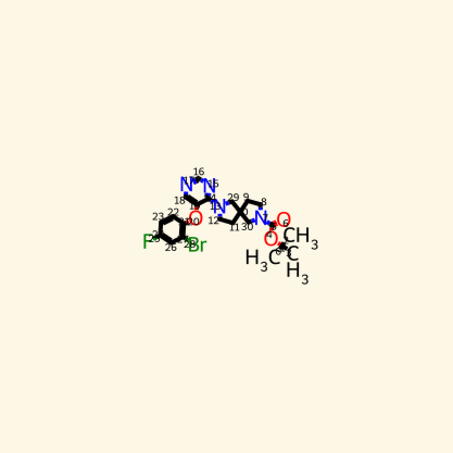 CC(C)(C)OC(=O)N1CCC2(CCN(c3ncncc3Oc3ccc(F)cc3Br)C2)C1